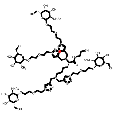 CC(=O)N[C@H]1[C@H](OCCOCCn2cc(CN(CCCC[C@@H](C(=O)NCCS)N(Cc3cn(CCOCCOC4O[C@H](CO)[C@H](O)[C@H](O)[C@H]4NC(C)=O)nn3)Cc3cn(CCOCCO[C@@H]4O[C@H](CO)[C@H](O)[C@H](O)[C@H]4C)nn3)Cc3cn(CCOCCO[C@@H]4O[C@H](CO)[C@H](O)[C@H](O)[C@H]4NC(C)=O)nn3)nn2)O[C@H](CO)[C@H](O)[C@@H]1O